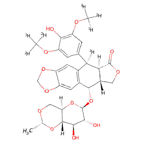 [2H]C([2H])([2H])Oc1cc([C@]2([2H])c3cc4c(cc3[C@@H](O[C@@H]3O[C@@H]5CO[C@@H](C)O[C@H]5[C@H](O)[C@H]3O)[C@H]3COC(=O)[C@@H]32)OCO4)cc(OC([2H])([2H])[2H])c1O